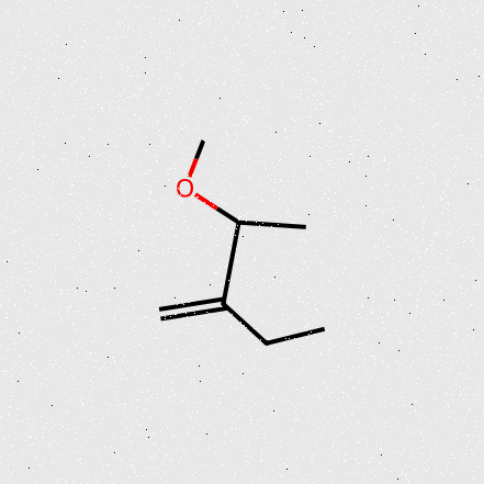 C=C(CC)C(C)OC